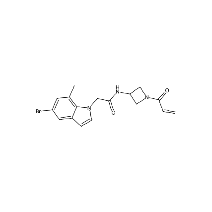 C=CC(=O)N1CC(NC(=O)Cn2ccc3cc(Br)cc(C)c32)C1